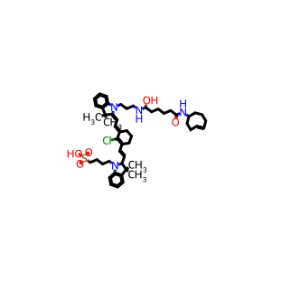 CC1(C)/C(=C\C=C2/CCCC(/C=C/C3N(CCCCS(=O)(=O)O)c4ccccc4C3(C)C)=C2Cl)N(CCCNC(O)CCCCC(=O)NC2CC/C=C/CCC2)c2ccccc21